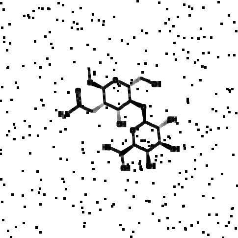 CO[C@H]1O[C@H](CO)[C@@H](O[C@@H]2O[C@H](C(O)S)[C@H](O)[C@H](O)[C@H]2O)[C@H](O)[C@@H]1CC(N)=O